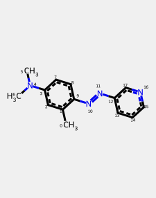 Cc1cc(N(C)C)ccc1N=Nc1cccnc1